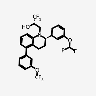 O[C@@H](CN1c2cccc(-c3cccc(OC(F)(F)F)c3)c2CC[C@@H]1C1C=C(OC(F)F)C=CC1)C(F)(F)F